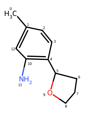 Cc1ccc(C2CCCO2)c(N)c1